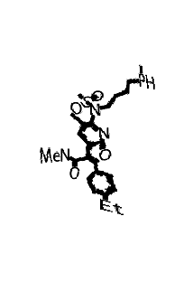 CCc1ccc(-c2oc3nc(N(CCCCPC)S(C)(=O)=O)c(C)cc3c2C(=O)NC)cc1